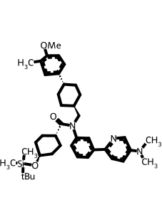 COc1ccc([C@H]2CC[C@H](CN(c3cccc(-c4ccc(N(C)C)cn4)c3)C(=O)[C@H]3CC[C@H](O[Si](C)(C)C(C)(C)C)CC3)CC2)cc1C